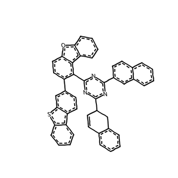 C1=CC(c2nc(-c3ccc4ccccc4c3)nc(-c3c(-c4ccc5c(c4)sc4ccccc45)ccc4oc5ccccc5c34)n2)Cc2ccccc21